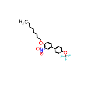 CCCCCCCCOc1ccc(-c2ccc(OC(F)(F)F)cc2)cc1[N+](=O)[O-]